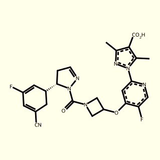 Cc1nn(-c2cc(OC3CN(C(=O)N4N=CC[C@H]4C4C=C(F)C=C(C#N)C4)C3)c(F)cn2)c(C)c1C(=O)O